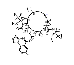 C[C@H]1CC/C=C\[C@@H]2C[C@@]2(C(=O)NS(=O)(=O)C2(C)CC2)NC(=O)[C@@H]2C[C@@H](Oc3nc4nccn4c4ccc(Cl)cc34)CN2C(=O)[C@@H](N(C(=O)O)C(C)(C)C(F)(F)F)[C@H](C)C1